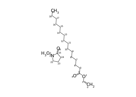 C=COC(=O)CCCCCCCCCCCCCCC.CN1CCCC1=O